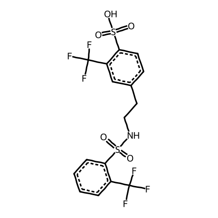 O=S(=O)(O)c1ccc(CCNS(=O)(=O)c2ccccc2C(F)(F)F)cc1C(F)(F)F